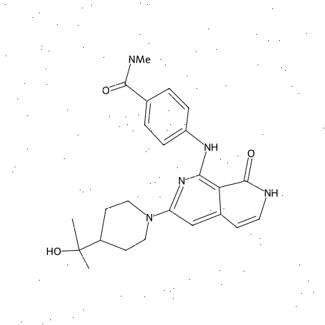 CNC(=O)c1ccc(Nc2nc(N3CCC(C(C)(C)O)CC3)cc3cc[nH]c(=O)c23)cc1